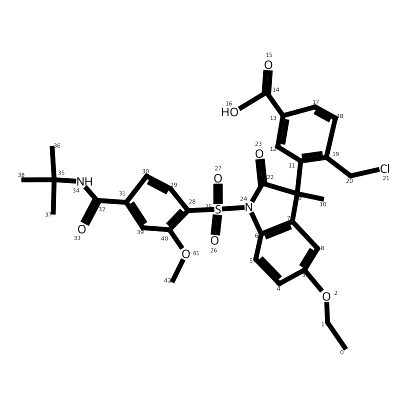 CCOc1ccc2c(c1)C(C)(c1cc(C(=O)O)ccc1CCl)C(=O)N2S(=O)(=O)c1ccc(C(=O)NC(C)(C)C)cc1OC